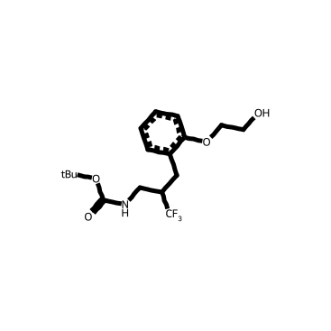 CC(C)(C)OC(=O)NCC(Cc1ccccc1OCCO)C(F)(F)F